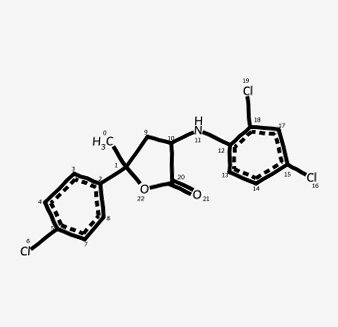 CC1(c2ccc(Cl)cc2)CC(Nc2ccc(Cl)cc2Cl)C(=O)O1